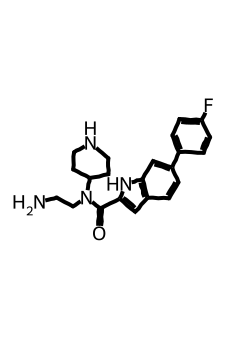 NCCN(C(=O)c1cc2ccc(-c3ccc(F)cc3)cc2[nH]1)C1CCNCC1